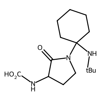 CC(C)(C)NC1(N2CCC(NC(=O)O)C2=O)CCCCC1